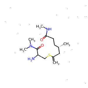 C=C(C[C@@H](C)CCC(=O)NC)SCC(N)C(=O)N(C)C